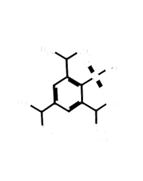 CC(C)c1cc(C(C)C)c(S(=O)(=O)O)c(C(C)C)c1.[CaH2]